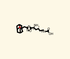 N[C@@H](CCCCNC(=O)O)c1nc(CC23CC4CC(CC(C4)C2)C3)no1